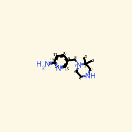 CC1(C)CNCCN1Cc1ccc(N)nc1